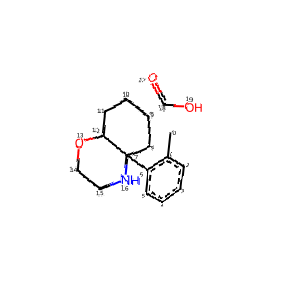 Cc1ccccc1C12CCCCC1OCCN2.O=CO